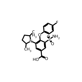 CC1CCC(C)N1c1cc(C(=O)O)cc(S(N)(=O)=O)c1Oc1ccc(F)cc1